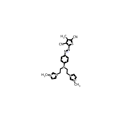 [C-]#[N+]c1c(/N=N/c2ccc(N(CCn3cc[n+](C)c3)CCn3cc[n+](C)c3)cc2)sc(C#N)c1C